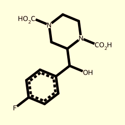 O=C(O)N1CCN(C(=O)O)C(C(O)c2ccc(F)cc2)C1